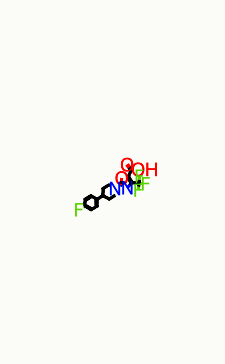 O=C(O)c1oc(N2CCC(c3ccc(F)cc3)CC2)nc1C(F)(F)F